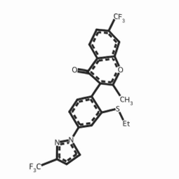 CCSc1cc(-n2ccc(C(F)(F)F)n2)ccc1-c1c(C)oc2cc(C(F)(F)F)ccc2c1=O